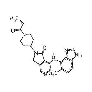 C=CC(=O)N1CCC(N2Cc3cncc(Nc4c(C)ccc5[nH]cnc45)c3C2=O)CC1